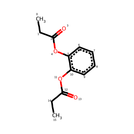 CCC(=O)Oc1[c]cccc1OC(=O)CC